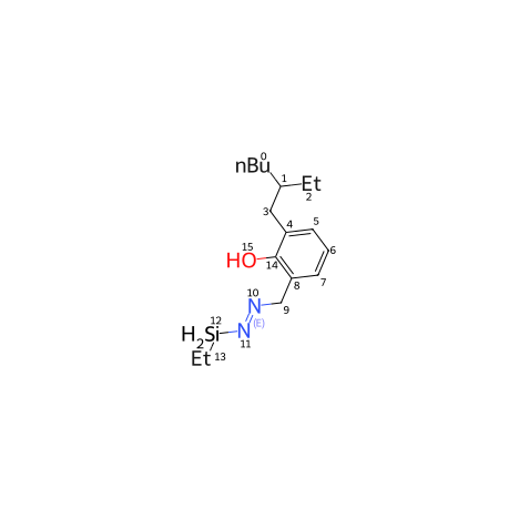 CCCCC(CC)Cc1cccc(C/N=N/[SiH2]CC)c1O